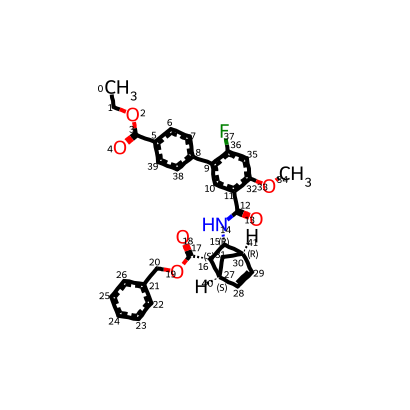 CCOC(=O)c1ccc(-c2cc(C(=O)N[C@H]3[C@@H](C(=O)OCc4ccccc4)[C@@H]4C=C[C@H]3C4)c(OC)cc2F)cc1